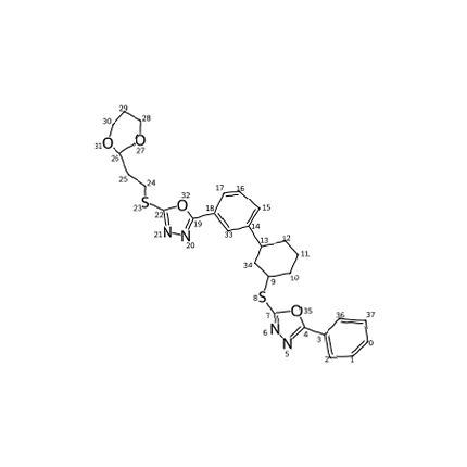 c1ccc(-c2nnc(SC3CCCC(c4cccc(-c5nnc(SCCC6OCCCO6)o5)c4)C3)o2)cc1